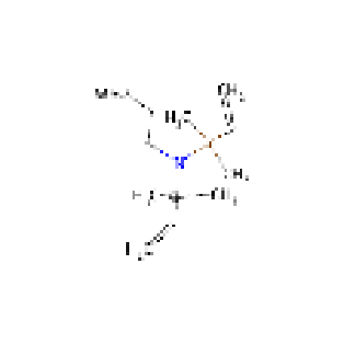 C=C[Si](C)(C)N(CCOC)S(C)(C)C=C